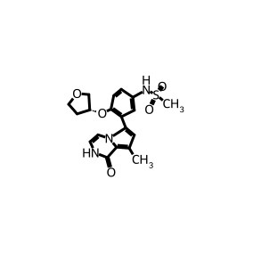 Cc1cc(-c2cc(NS(C)(=O)=O)ccc2O[C@@H]2CCOC2)n2cc[nH]c(=O)c12